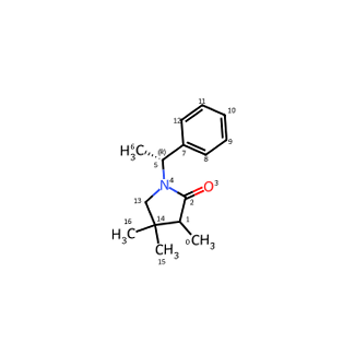 CC1C(=O)N([C@H](C)c2ccccc2)CC1(C)C